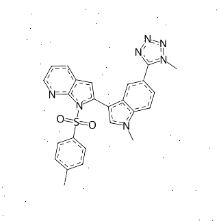 Cc1ccc(S(=O)(=O)n2c(-c3cn(C)c4ccc(-c5nnnn5C)cc34)cc3cccnc32)cc1